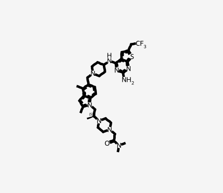 Cc1c(CN2CCC(Nc3nc(N)nc4sc(CC(F)(F)F)cc34)CC2)ccc2c1cc(C)n2C[C@H](C)N1CCN(CC(=O)N(C)C)CC1